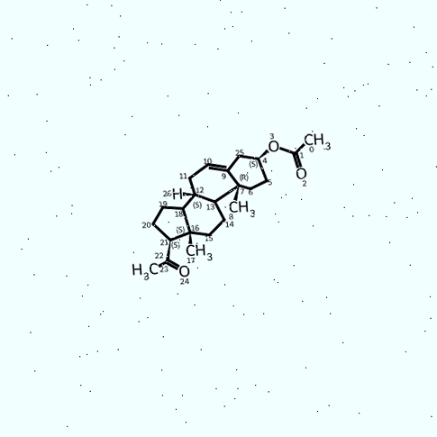 CC(=O)O[C@H]1CC[C@@]2(C)C(=CC[C@@H]3C2CC[C@@]2(C)C3CC[C@@H]2C(C)=O)C1